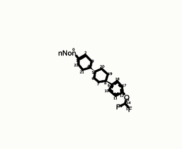 CCCCCCCCCC1=CCC([C@H]2CC[C@H](c3ccc(OC(F)F)cc3)CC2)CC1